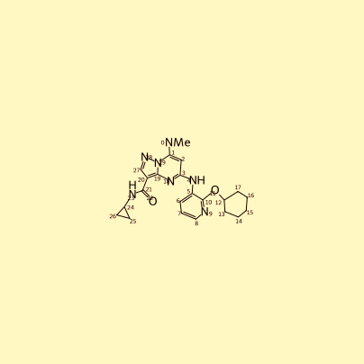 CNc1cc(Nc2cccnc2OC2CCCCC2)nc2c(C(=O)NC3CC3)cnn12